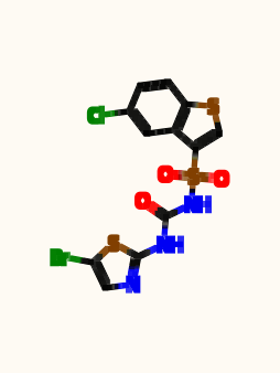 O=C(Nc1ncc(Br)s1)NS(=O)(=O)c1csc2ccc(Cl)cc12